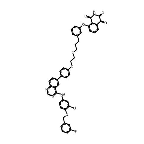 O=C1NC(=O)c2c(Oc3cccc(CCCOCCOc4ccc(-c5ccc6ncnc(Nc7ccc(OCc8cccc(F)c8)c(Cl)c7)c6c5)cc4)c3)cccc2C1=O